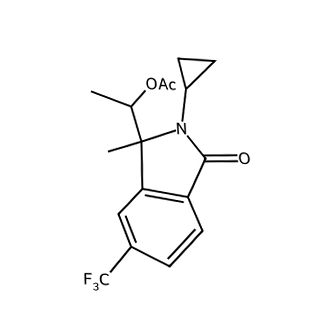 CC(=O)OC(C)C1(C)c2cc(C(F)(F)F)ccc2C(=O)N1C1CC1